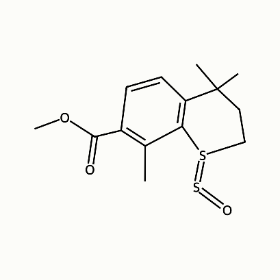 COC(=O)c1ccc2c(c1C)S(=S=O)CCC2(C)C